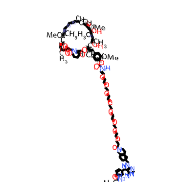 CO[C@H]1C[C@@H]2CC[C@@H](C)C(=O)C(O)(O2)C(=O)N2CCCC[C@H]2C(=O)O[C@H]([C@H](C)C[C@@H]2CC[C@@H](OC(=O)NCCOCCOCCOCCOCCOCCOCCOCCOCCC(=O)N3CCc4cc(Cn5nc(-c6ccc7oc(C)nc7c6)c6c(N)ncnc65)ccc4C3)[C@H](OC)C2)C[C@@H](O)[C@H](C)/C=C(\C)[C@@H](O)[C@@H](OC)C(=O)[C@H](C)C[C@H](C)/C=C/C=C/C=C/1C